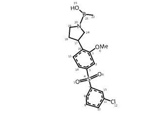 COc1cc(S(=O)(=O)c2cccc(Cl)c2)ccc1C1CCN(B(C)O)C1